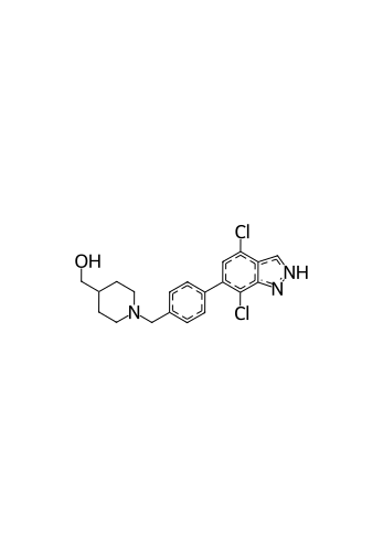 OCC1CCN(Cc2ccc(-c3cc(Cl)c4c[nH]nc4c3Cl)cc2)CC1